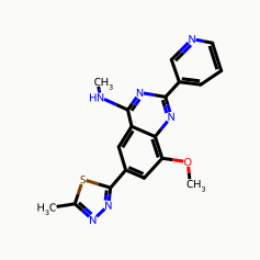 CNc1nc(-c2cccnc2)nc2c(OC)cc(-c3nnc(C)s3)cc12